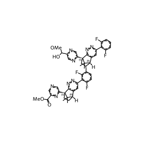 COC(=O)c1cncc([C@@]23CC[C@@H](c4cc(-c5c(F)ccc(C6C[C@]7(c8cnc(C(O)OC)cn8)c8nnc(-c9c(F)cccc9F)cc8[C@H]6C7(C)C)c5F)nnc42)C3(C)C)n1